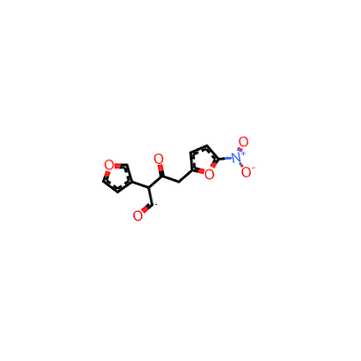 O=[C]C(C(=O)Cc1ccc([N+](=O)[O-])o1)c1ccoc1